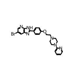 Brc1cnc2[nH]c(-c3ccc(OCCN4CCN(c5ccccn5)CC4)cc3)nc2c1